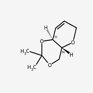 CC1(C)OC[C@H]2OCC=C[C@@H]2O1